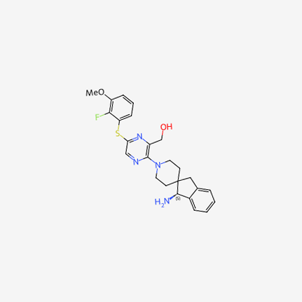 COc1cccc(Sc2cnc(N3CCC4(CC3)Cc3ccccc3[C@H]4N)c(CO)n2)c1F